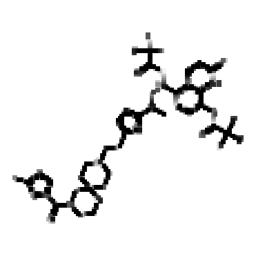 Cc1nc(C(=O)N2CCOC3(CCN(CCc4ccc(N(C)C[C@H](OC(=O)C(F)(F)F)c5ccc(OC(=O)C(F)(F)F)c6[nH]c(=O)ccc56)s4)CC3)C2)cs1